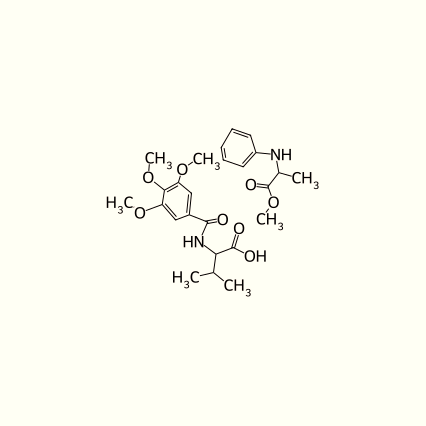 COC(=O)C(C)Nc1ccccc1.COc1cc(C(=O)NC(C(=O)O)C(C)C)cc(OC)c1OC